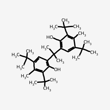 Cc1c(C(C)(C)C)cc(C(C)(C)c2cc(C(C)(C)C)c(C)c(C(C)(C)C)c2O)c(O)c1C(C)(C)C